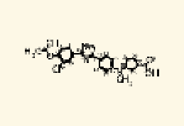 CC(C)Oc1ccc(-c2noc(-c3ccc(N(C)C4CC[C@H](C(=O)O)C4)cc3)n2)cc1Cl